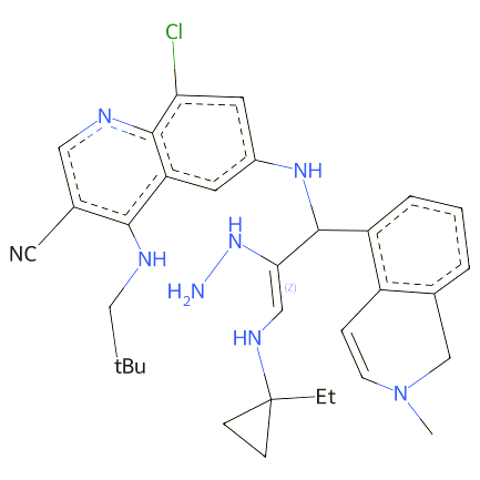 CCC1(N/C=C(\NN)C(Nc2cc(Cl)c3ncc(C#N)c(NCC(C)(C)C)c3c2)c2cccc3c2C=CN(C)C3)CC1